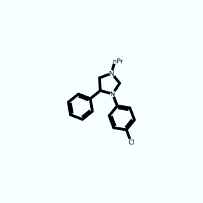 CCCN1CC(c2ccccc2)N(c2ccc(Cl)cc2)C1